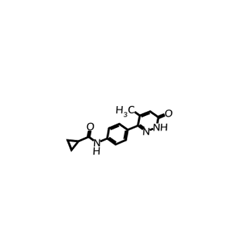 Cc1cc(=O)[nH]nc1-c1ccc(NC(=O)C2CC2)cc1